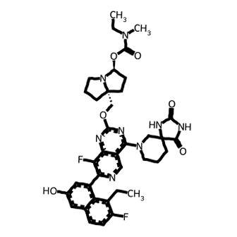 CCc1c(F)ccc2cc(O)cc(-c3ncc4c(N5CCCC6(C5)NC(=O)NC6=O)nc(OC[C@]56CCCN5[C@@H](OC(=O)N(C)CC)CC6)nc4c3F)c12